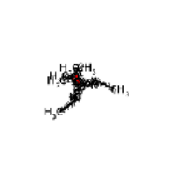 CCCCCCCCc1cnc(-c2ccc(C(OC(c3ccc(C(=O)OCC(C)CC)cc3)c3ccc(-c4ncc(CCCCCCCC)cn4)cc3)c3ccc(C(=O)OCC(C)CC)cc3)cc2)nc1